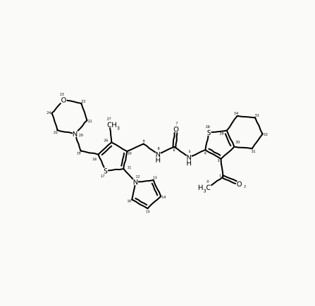 CC(=O)c1c(NC(=O)NCc2c(-n3cccc3)sc(CN3CCOCC3)c2C)sc2c1CCCC2